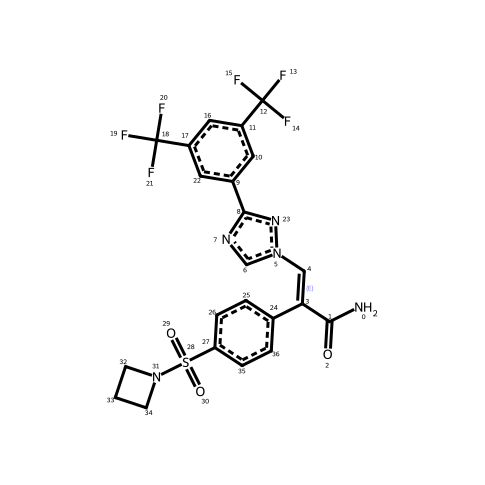 NC(=O)/C(=C/n1cnc(-c2cc(C(F)(F)F)cc(C(F)(F)F)c2)n1)c1ccc(S(=O)(=O)N2CCC2)cc1